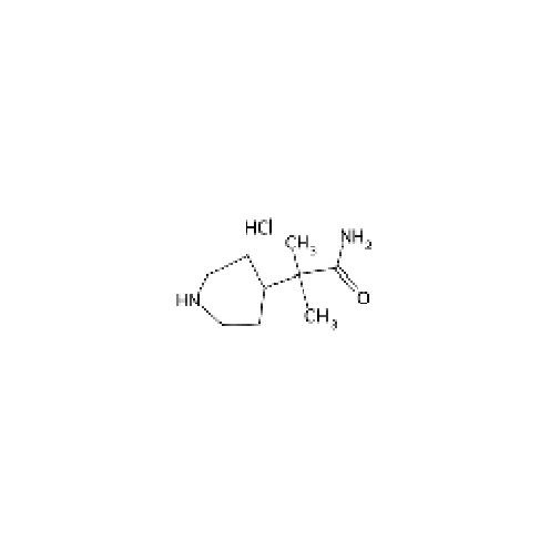 CC(C)(C(N)=O)C1CCNCC1.Cl